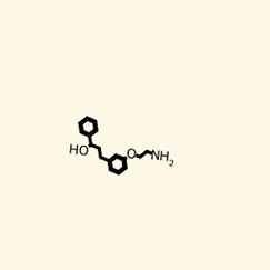 NCCOc1cccc(CCC(O)c2ccccc2)c1